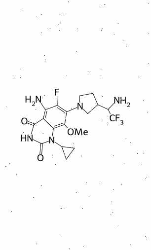 COc1c(N2CCC(C(N)C(F)(F)F)C2)c(F)c(N)c2c(=O)[nH]c(=O)n(C3CC3)c12